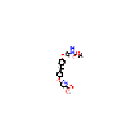 COC(=O)c1ccc(Oc2ccc(C(C)(C)c3ccc(OC4CC(NC(=O)OC(C)(C)C)C4)cc3)cc2)nn1